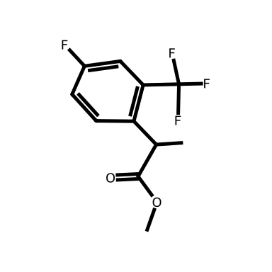 COC(=O)C(C)c1ccc(F)cc1C(F)(F)F